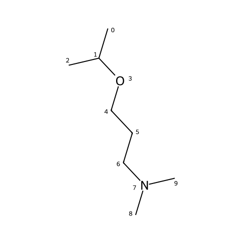 CC(C)OCCCN(C)C